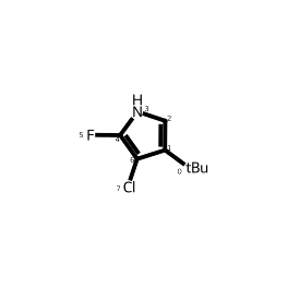 CC(C)(C)c1c[nH]c(F)c1Cl